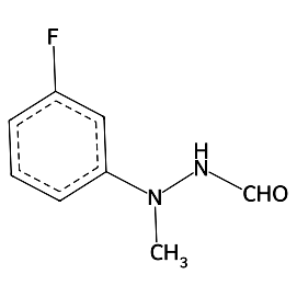 CN(NC=O)c1cccc(F)c1